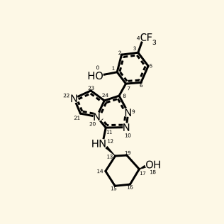 Oc1cc(C(F)(F)F)ccc1-c1nnc(N[C@@H]2CCC[C@H](O)C2)n2cncc12